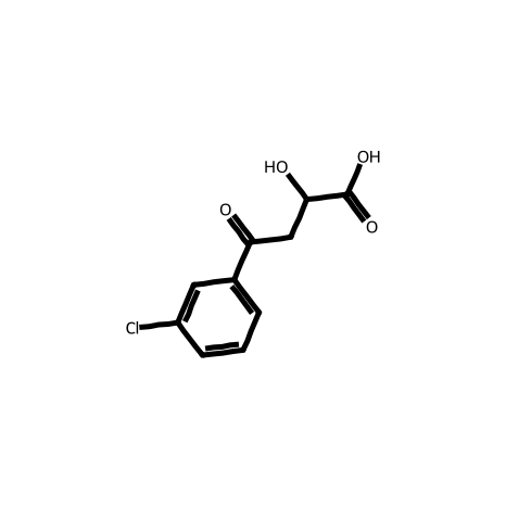 O=C(CC(O)C(=O)O)c1cccc(Cl)c1